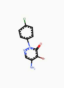 Nc1cnn(-c2ccc(Cl)cc2)c(=O)c1Br